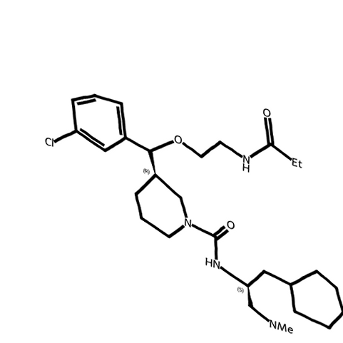 CCC(=O)NCCOC(c1cccc(Cl)c1)[C@@H]1CCCN(C(=O)N[C@H](CNC)CC2CCCCC2)C1